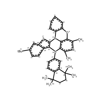 Cc1nc(C)c2c3c1Oc1ccccc1B3c1sc3cc(C(C)(C)C)ccc3c1N2c1ccc2c(c1)C(C)(C)CCC2(C)C